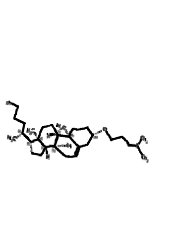 CC(C)CCC[C@@H](C)[C@H]1CC[C@H]2[C@@H]3CC=C4C[C@@H](OCCCN(C)C)CC[C@]4(C)[C@H]3CC[C@]12C